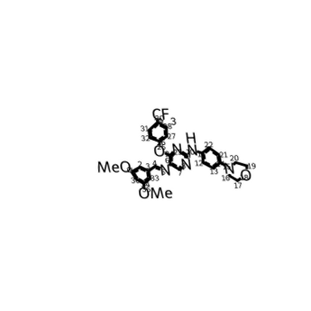 COc1cc(/C=N/c2cnc(Nc3ccc(N4CCOCC4)cc3)nc2Oc2ccc(C(F)(F)F)cc2)cc(OC)c1